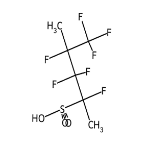 CC(F)(C(F)(F)F)C(F)(F)C(C)(F)S(=O)(=O)O